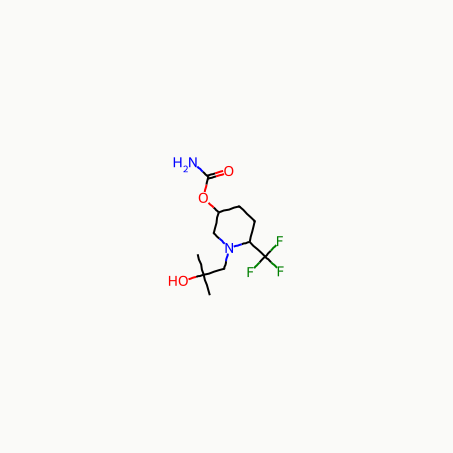 CC(C)(O)CN1CC(OC(N)=O)CCC1C(F)(F)F